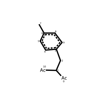 CC(=O)C(Cc1ccc(C)cc1)C(C)=O